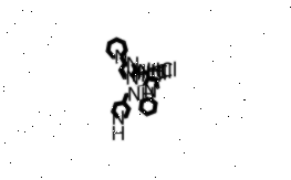 Cl.Cl.Cl.Cl.c1cc(N2CCCCCC2)nc(N[C@H]2CCN(C3CCCCC3)[C@@H]2CNCC2CCNCC2)n1